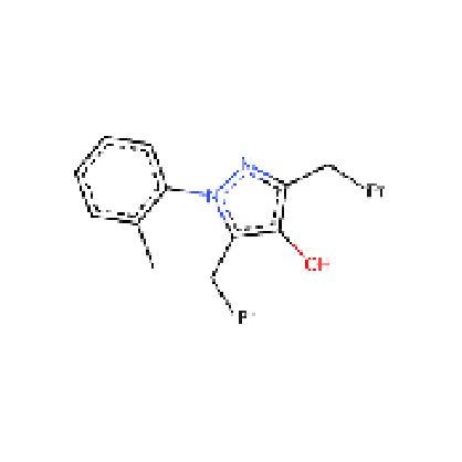 Cc1ccccc1-n1nc(CC(C)C)c(O)c1CC(C)C